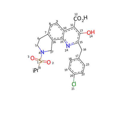 CC(C)S(=O)(=O)N1CCc2ccc3c(C(=O)O)c(O)c(Cc4ccc(Cl)cc4)nc3c2C1